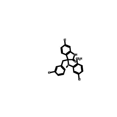 CN(c1cc(Cl)ccc1C(=O)O)C1(Cc2cccc(Cl)c2)C(=O)Nc2cc(Cl)ccc21